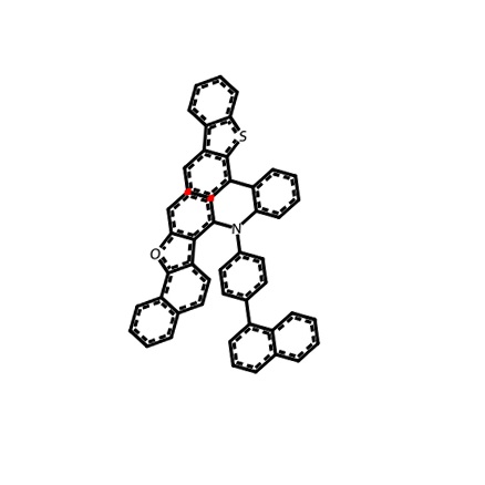 c1ccc(N(c2ccc(-c3cccc4ccccc34)cc2)c2cccc3oc4c5ccccc5ccc4c23)c(-c2cccc3c2sc2ccccc23)c1